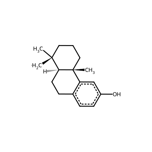 [CH2][C@@]1(C)CCC[C@]2(C)c3cc(O)ccc3CC[C@@H]12